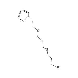 OCCCSCCCOCCc1ccccc1